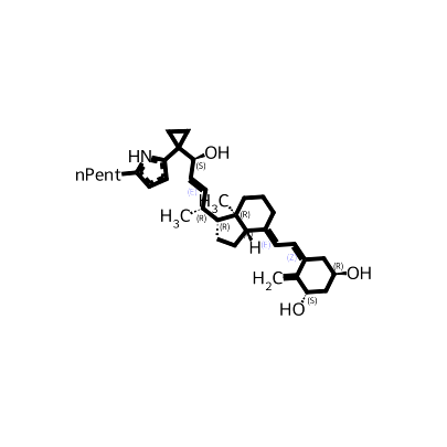 C=C1/C(=C\C=C2/CCC[C@]3(C)[C@@H]([C@H](C)/C=C/[C@H](O)C4(c5ccc(CCCCC)[nH]5)CC4)CC[C@@H]23)C[C@@H](O)C[C@@H]1O